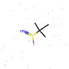 CC(C)(C)S(=N)I